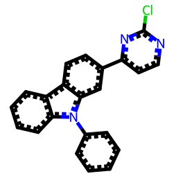 Clc1nccc(-c2ccc3c4ccccc4n(-c4ccccc4)c3c2)n1